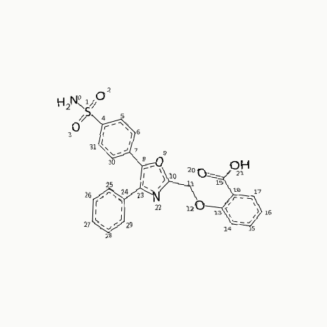 NS(=O)(=O)c1ccc(-c2oc(COc3ccccc3C(=O)O)nc2-c2ccccc2)cc1